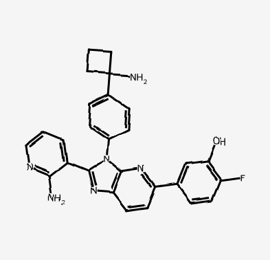 Nc1ncccc1-c1nc2ccc(-c3ccc(F)c(O)c3)nc2n1-c1ccc(C2(N)CCC2)cc1